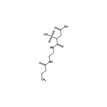 CCCC(=O)NCCNC(=O)C(CC(=O)O)S(=O)(=O)O